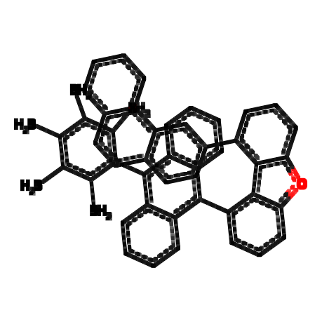 Bc1c(B)c(B)c(-c2c3ccccc3c(-c3cccc4oc5cccc(-c6ccc7ccc8ccccc8c7c6)c5c34)c3ccccc23)c(B)c1B